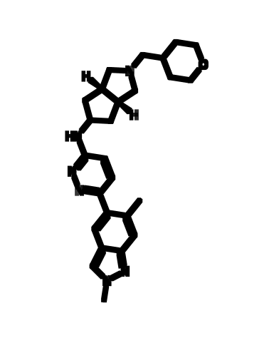 Cc1cc2nn(C)cc2cc1-c1ccc(NC2C[C@@H]3CN(CC4CCOCC4)C[C@@H]3C2)nn1